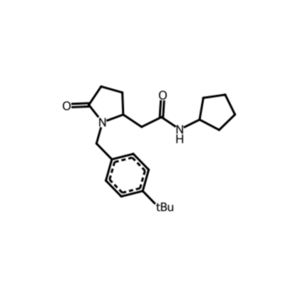 CC(C)(C)c1ccc(CN2C(=O)CCC2CC(=O)NC2CCCC2)cc1